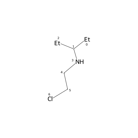 CCC(CC)NCCCl